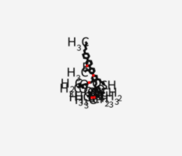 C=C(C)C(=O)OCCCc1cc(-c2ccc(-c3ccc(C4CCC(CCCCC)CC4)cc3F)c(CC)c2)cc(CCCS)c1OCC(COC(=O)C(=C)C)(COC(=O)C(=C)C)COC(=O)C(C)(C)C